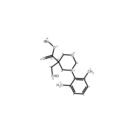 Cc1cccc(C)c1N1COCC(CC=O)(C(=O)OC(C)(C)C)C1